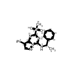 CC(C)c1cnn2c(N[C@@H](C)c3ccccc3)nc(S(C)(=O)=O)nc12